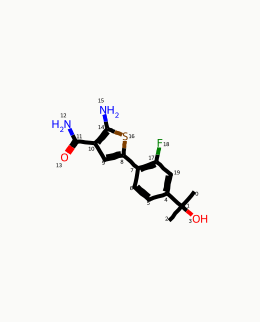 CC(C)(O)c1ccc(-c2cc(C(N)=O)c(N)s2)c(F)c1